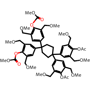 COCc1cc(C2(c3cc(COC)c(OC(C)=O)c(COC)c3)CCC(c3cc(COC)c(OC(=O)OC)c(COC)c3)(c3cc(COC)c(OC(=O)OC)c(COC)c3)CC2)cc(COC)c1OC(C)=O